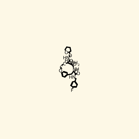 B[C@H]1C(=O)N[C@H](C(=O)NCc2ccc(F)cc2)Cc2ccc(cc2)OCCC[C@@H]1C(=O)NOC1CCCCO1